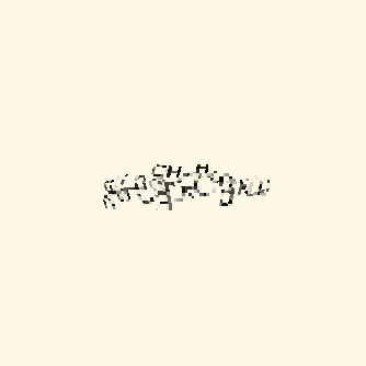 CC(C)[C@@H](OC(=O)N1CCC1)C1C[C@@H](C)[C@H]2C(O1)[C@H](O)[C@@]1(C)C3CC[C@H]4C(C)(C)[C@@H](OC(=O)N5CCOCC5)CCC45C[C@@]35CC[C@]21C